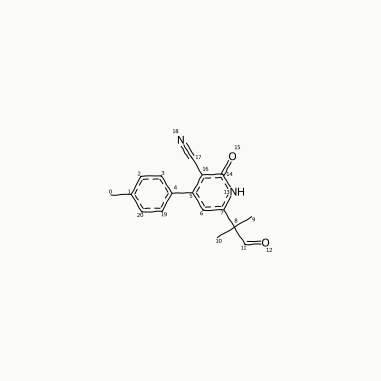 Cc1ccc(-c2cc(C(C)(C)C=O)[nH]c(=O)c2C#N)cc1